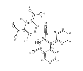 Cc1c(C(=O)O)ccc(F)c1C(=O)O.N#Cc1[nH]c(=O)c2ccccc2c1-c1ccccc1